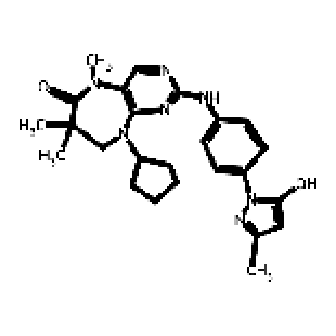 Cc1cc(O)n(-c2ccc(Nc3ncc4c(n3)N(C3CCCC3)CC(C)(C)C(=O)N4C)cc2)n1